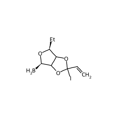 B[C@H]1O[C@@H](CC)C2OC(I)(C=C)OC21